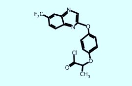 CC(Oc1ccc(Oc2cnc3cc(C(F)(F)F)ccc3n2)cc1)C(=O)Cl